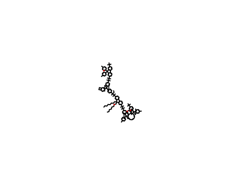 CCCCCCCCC1(CCCCCCCC)c2cc(C(C)(C)C(C)(C)c3ccc(N(c4ccc(C)cc4)c4ccccccc(N(c5ccc(C)cc5)c5ccc(C(C)(C)C)cc5)c5ccccc45)cc3)ccc2-c2ccc(C(C)(C)C(C)(CC)c3ccc(N(c4ccc(C(C)(C)C(C)(C)c5ccc6c(c5)C(c5ccc(C)cc5)(c5ccc(C)cc5)c5cc(C(C)(C)C)ccc5-6)cc4)c4ccc5c(c4)CC5)cc3)cc21